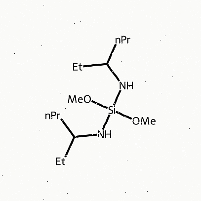 CCCC(CC)N[Si](NC(CC)CCC)(OC)OC